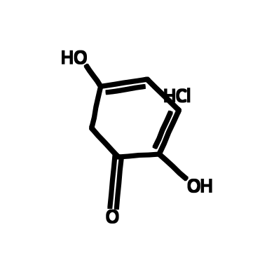 Cl.O=C1CC(O)=CC=C1O